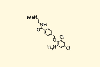 CNCCNC(=O)c1ccc(COc2c(N)cc(Cl)cc2Cl)cc1